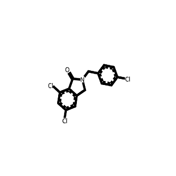 O=C1c2c(Cl)cc(Cl)cc2CN1Cc1ccc(Cl)cc1